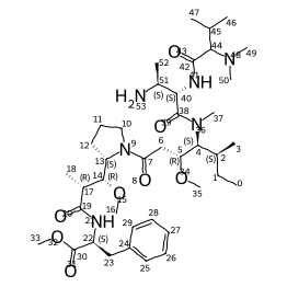 CC[C@H](C)[C@@H]([C@@H](CC(=O)N1CCC[C@H]1[C@H](OC)[C@@H](C)C(=O)N[C@@H](Cc1ccccc1)C(=O)OC)OC)N(C)C(=O)[C@@H](NC(=O)C(C(C)C)N(C)C)[C@H](C)N